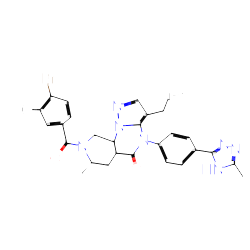 Cc1nnc(-c2ccc(N3C(=O)C4C[C@@H](C)N(C(=O)c5ccc(Br)c(C(F)(F)F)c5)CC4n4ncc(CC(C)C)c43)cc2)[nH]1